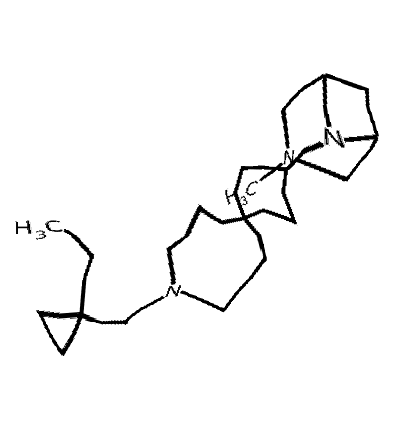 CCC1(CN2CCC3(CC2)CC(N2C4CC2CN(C)C4)C3)CC1